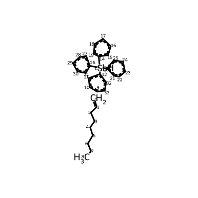 C=CCCCCCCC.c1cc[c]([SbH]([c]2ccccc2)([c]2ccccc2)[c]2ccccc2)cc1